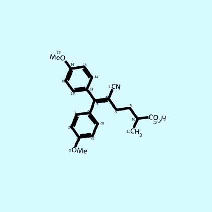 COc1ccc(C(=C(C#N)CCC(C)C(=O)O)c2ccc(OC)cc2)cc1